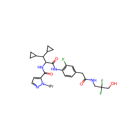 CC(C)n1nccc1C(=O)NC(C(=O)Nc1ccc(CC(=O)NCC(F)(F)CO)cc1F)C(C1CC1)C1CC1